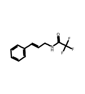 O=C(NCC=Cc1ccccc1)C(F)(F)F